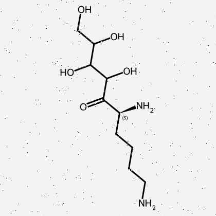 NCCCC[C@H](N)C(=O)C(O)C(O)C(O)[CH]O